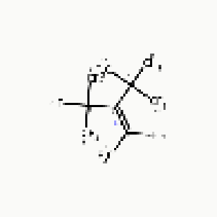 CC(/C(=C(\F)C(F)(F)F)C(F)(C(F)(F)F)C(F)(F)F)(C(F)(F)F)C(F)(F)F